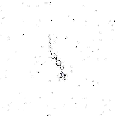 CCCCCCCCC1CCN(c2ccc(OC/C=C/C(F)(F)F)cc2)CC1